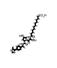 Cc1ncsc1-c1ccc(C(C)NC(=O)[C@@H]2C[C@@H](O)CN2C(=O)C(NC(=O)CCCCCCCCCCCC(=O)O)C(C)(C)C)cc1